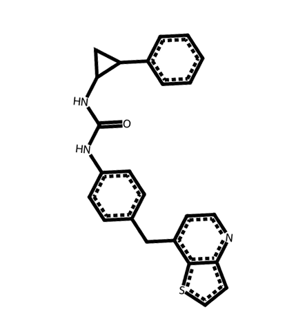 O=C(Nc1ccc(Cc2ccnc3ccsc23)cc1)NC1CC1c1ccccc1